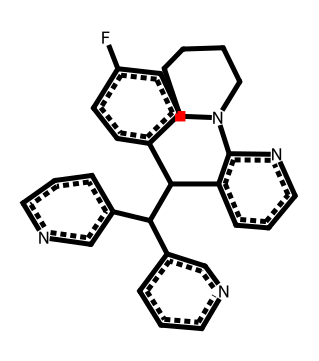 Fc1ccc(C(c2cccnc2N2CCCCC2)C(c2cccnc2)c2cccnc2)cc1